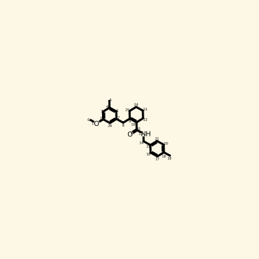 COc1cc(C)cc(CC2=C(C(=O)NCc3ccc(C)cc3)CCCC2)c1